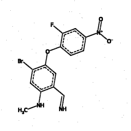 CNc1cc(Br)c(Oc2ccc([N+](=O)[O-])cc2F)cc1C=N